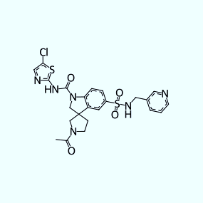 CC(=O)N1CCC2(C1)CN(C(=O)Nc1ncc(Cl)s1)c1ccc(S(=O)(=O)NCc3cccnc3)cc12